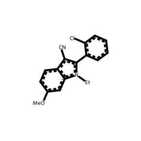 CCn1c(-c2ccccc2Cl)c(C#N)c2ccc(OC)cc21